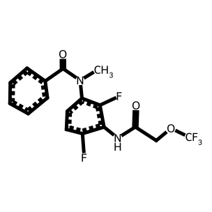 CN(C(=O)c1ccccc1)c1ccc(F)c(NC(=O)COC(F)(F)F)c1F